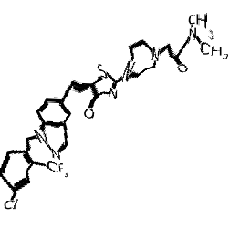 CN(C)C(=O)CN1CCN(C2=NC(=O)C(=Cc3ccc4c(cnn4Cc4ccc(Cl)cc4C(F)(F)F)c3)S2)CC1